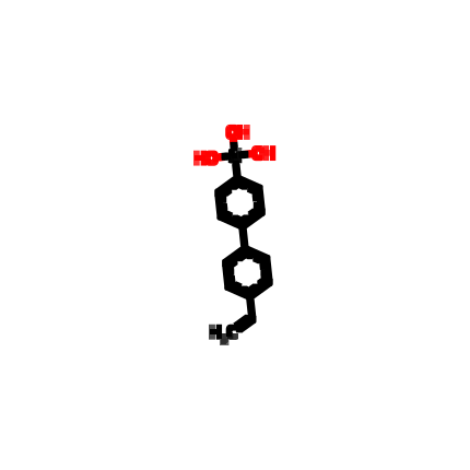 C=Cc1ccc(-c2ccc([Si](O)(O)O)cc2)cc1